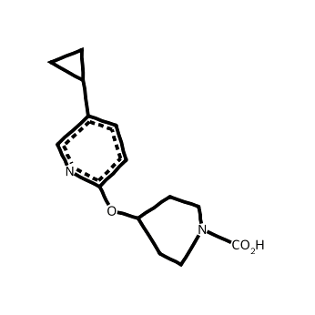 O=C(O)N1CCC(Oc2ccc(C3CC3)cn2)CC1